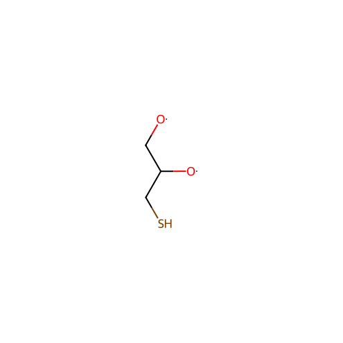 [O]CC([O])CS